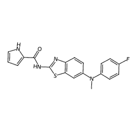 CN(c1ccc(F)cc1)c1ccc2nc(NC(=O)c3ccc[nH]3)sc2c1